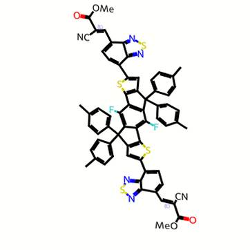 COC(=O)/C(C#N)=C/c1ccc(-c2cc3c(s2)-c2c(F)c4c(c(F)c2C3(c2ccc(C)cc2)c2ccc(C)cc2)-c2sc(-c3ccc(/C=C(\C#N)C(=O)OC)c5nsnc35)cc2C4(c2ccc(C)cc2)c2ccc(C)cc2)c2nsnc12